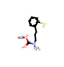 CN(CCCc1ccccc1S)C(=O)OC(C)(C)C